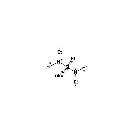 CCCC[Si](CC)(N(CC)CC)N(CC)CC